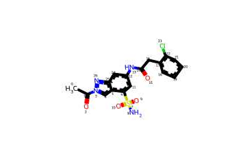 CC(=O)n1cc2c(S(N)(=O)=O)cc(NC(=O)Cc3ccccc3Cl)cc2n1